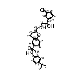 CC(C)c1ccc(NS(=O)(=O)c2ccc3c(c2)CCC(CNCC(O)c2cccc(Cl)c2)O3)cc1